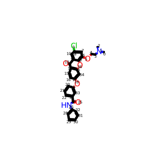 CN(C)CCOc1cc(Cl)cc2c(=O)c3ccc(Oc4cccc(C(=O)Nc5ccccc5)c4)cc3oc12